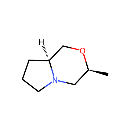 C[C@H]1CN2CCC[C@H]2CO1